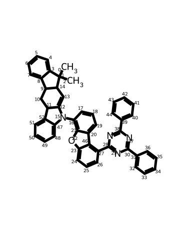 CC1(C)c2ccccc2C2CC3C(=CC21)N(c1cccc2c1oc1cccc(-c4nc(-c5ccccc5)nc(-c5ccccc5)n4)c12)c1ccccc13